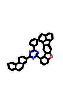 c1ccc(-c2nc(-c3ccc4c(ccc5ccccc54)c3)nc(-c3cccc4oc5cc6c(cc5c34)-c3cccc4cccc-6c34)n2)cc1